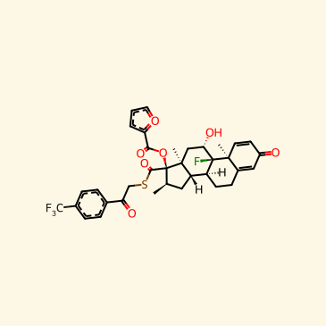 C[C@@H]1C[C@H]2[C@@H]3CCC4=CC(=O)C=C[C@]4(C)[C@@]3(F)[C@@H](O)C[C@]2(C)[C@@]1(OC(=O)c1ccco1)C(=O)SCC(=O)c1ccc(C(F)(F)F)cc1